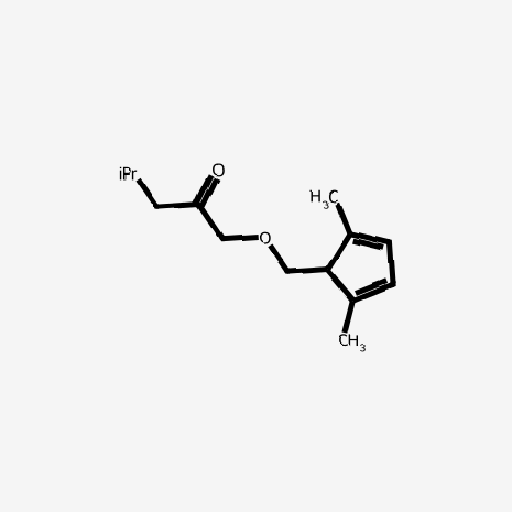 CC1=CC=C(C)C1COCC(=O)CC(C)C